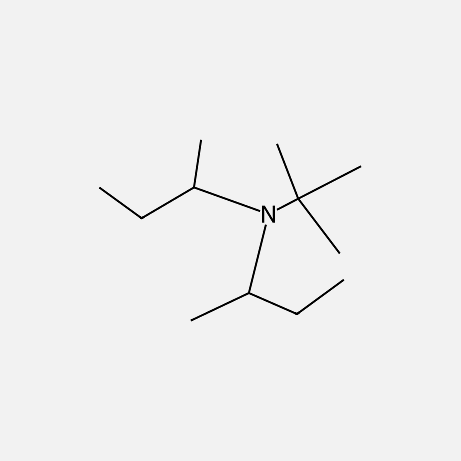 CCC(C)N(C(C)CC)C(C)(C)C